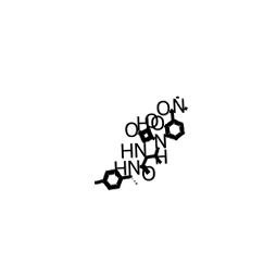 Cc1ccc([C@@H](C)NC(=O)[C@H](Nc2c(Nc3cccc(C(=O)N(C)C)c3O)c(=O)c2=O)C(C)C)cc1